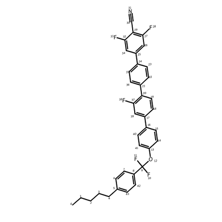 CCCCCc1ccc(C(F)(F)Oc2ccc(-c3ccc(-c4ccc(-c5cc(F)c(C#N)c(F)c5)cc4)c(F)c3)cc2)cc1